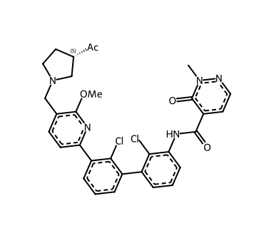 COc1nc(-c2cccc(-c3cccc(NC(=O)c4ccnn(C)c4=O)c3Cl)c2Cl)ccc1CN1CC[C@H](C(C)=O)C1